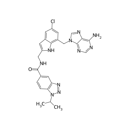 CC(C)n1nnc2cc(C(=O)NCc3cc4cc(Cl)cc(Cn5cnc6c(N)ncnc65)c4[nH]3)ccc21